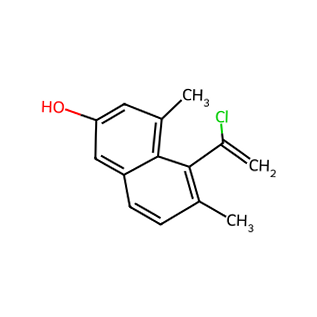 C=C(Cl)c1c(C)ccc2cc(O)cc(C)c12